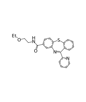 CCOCCNC(=O)c1ccc2c(c1)N=C(c1ccccn1)c1ccccc1S2